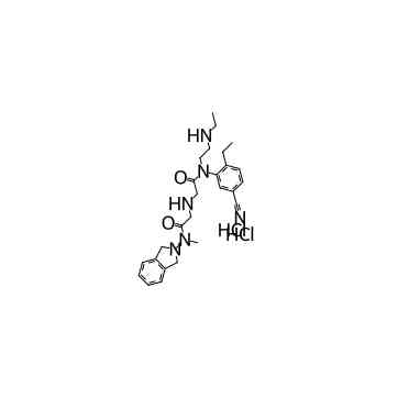 CCNCCN(C(=O)CNCC(=O)N(C)N1Cc2ccccc2C1)c1cc(C#N)ccc1CC.Cl.Cl